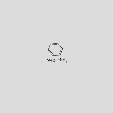 CON.c1ccccc1